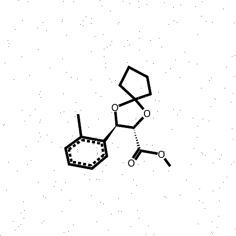 COC(=O)[C@H]1OC2(CCCC2)O[C@@H]1c1ccccc1C